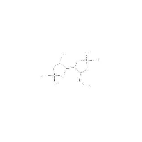 CC1OC(C)(C)OC1C1OC(C)(C)OC1CO